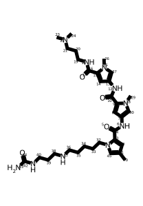 Cc1cc(C(=O)Nc2cc(C(=O)Nc3cc(C(=O)NCCCN(C)C)n(C)c3)n(C)c2)n(CCCCCNCCCNC(N)=O)c1